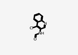 O=CNc1cnc2ccccc2c1Cl